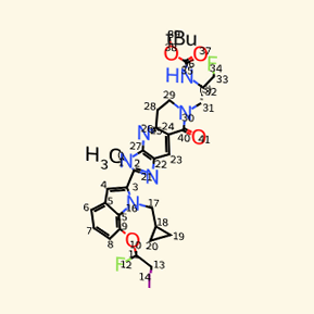 Cn1c(-c2cc3cccc(OC(F)CI)c3n2CC2CC2)nc2cc3c(nc21)CCN(C[C@@H](CF)NC(=O)OC(C)(C)C)C3=O